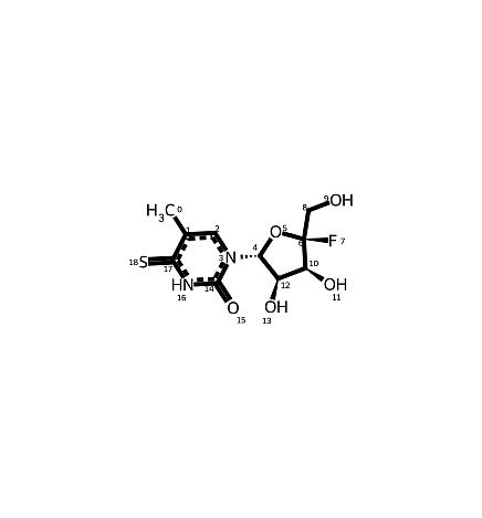 Cc1cn([C@@H]2O[C@](F)(CO)[C@@H](O)[C@H]2O)c(=O)[nH]c1=S